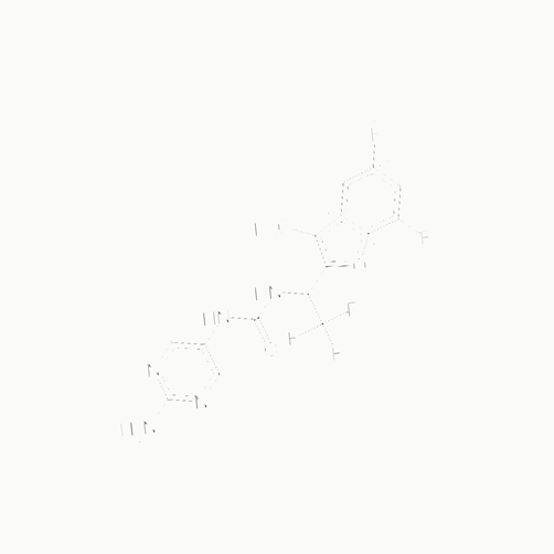 Cc1c(C(NC(=O)Nc2cnc(N)nc2)C(F)(F)F)oc2c(F)cc(F)cc12